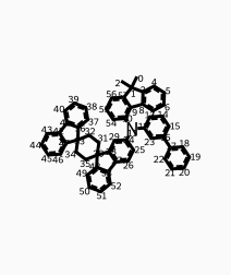 CC1(C)c2ccccc2-c2c(N(c3cccc(-c4ccccc4)c3)c3ccc4c(c3)C3(CCC5(CC3)c3ccccc3-c3ccccc35)c3ccccc3-4)cccc21